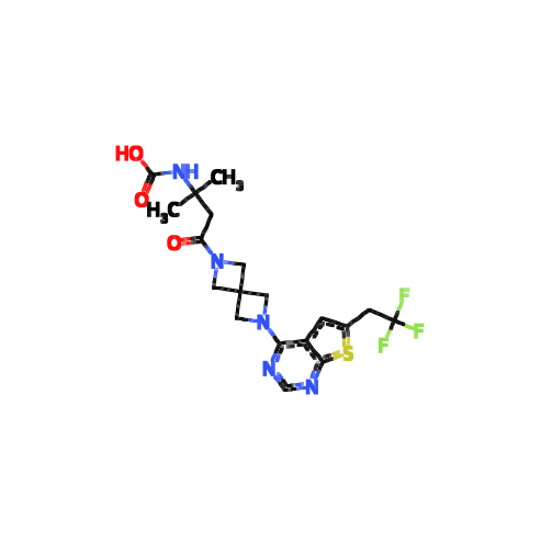 CC(C)(CC(=O)N1CC2(C1)CN(c1ncnc3sc(CC(F)(F)F)cc13)C2)NC(=O)O